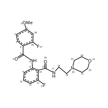 COc1ccc(C(=O)Nc2cccc(F)c2C(=O)NCCN2CCOCC2)c(F)c1